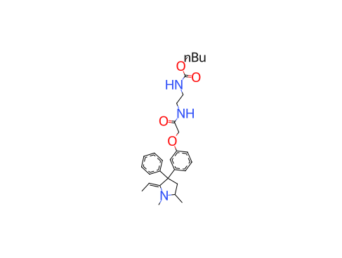 C/C=C1\N(C)C(C)CC1(c1ccccc1)c1cccc(OCC(=O)NCCNC(=O)OCCCC)c1